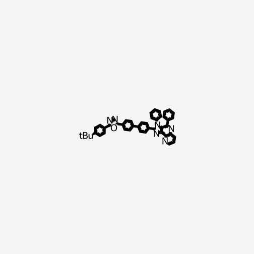 CC(C)(C)c1ccc(-c2nnc(-c3ccc(-c4ccc(-c5nc6c7ncccc7nc(-c7ccccc7)c6n5-c5ccccc5)cc4)cc3)o2)cc1